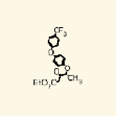 CCOC(=O)CC(=O)[C@@H](C)Oc1ccc(Oc2ccc(C(F)(F)F)cc2)cc1